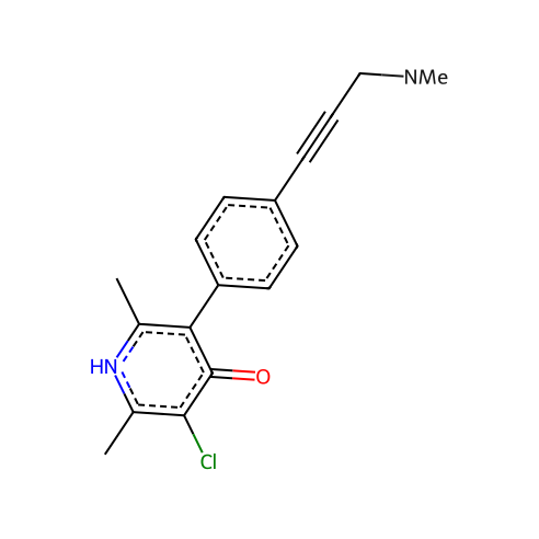 CNCC#Cc1ccc(-c2c(C)[nH]c(C)c(Cl)c2=O)cc1